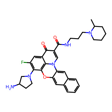 CC1CCCCN1CCCNC(=O)c1cn2c3c(c(N4CCC(N)C4)c(F)cc3c1=O)Oc1cc3ccccc3cc1-2